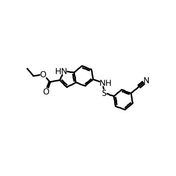 CCOC(=O)c1cc2cc(NSc3cccc(C#N)c3)ccc2[nH]1